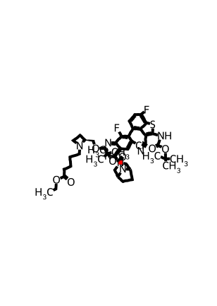 CCOC(=O)CCCCN1CC[C@H]1COc1nc(N2CC3CCC(C2)N3C(=O)OC(C)(C)C)c2cc(Cl)c(-c3ccc(F)c4sc(NC(=O)OC(C)(C)C)c(C#N)c34)c(F)c2n1